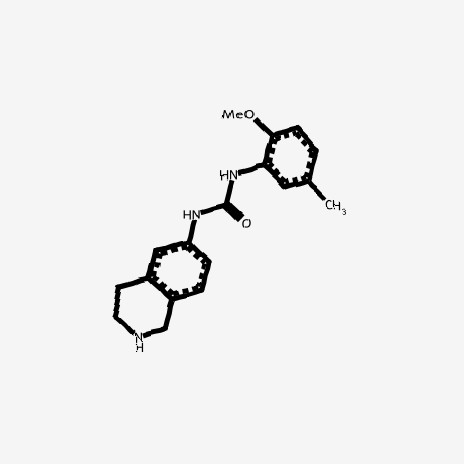 COc1ccc(C)cc1NC(=O)Nc1ccc2c(c1)CCNC2